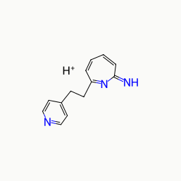 N=c1ccccc(CCc2ccncc2)n1.[H+]